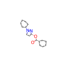 O=C(Oc1ccn(-c2ccccc2)n1)c1ccccc1